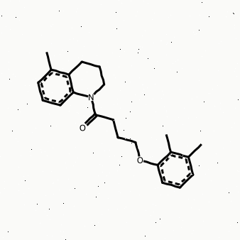 Cc1cccc(OCCCC(=O)N2CCCc3c(C)cccc32)c1C